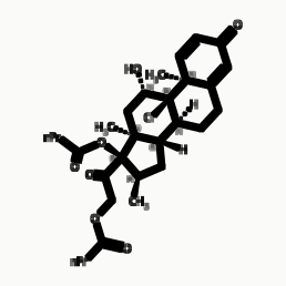 CCCC(=O)OCC(=O)[C@@]1(OC(=O)CCC)[C@H](C)C[C@H]2[C@@H]3CCC4=CC(=O)C=C[C@]4(C)[C@@]3(Cl)[C@@H](O)C[C@@]21C